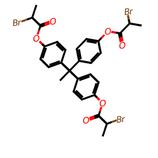 CC(Br)C(=O)Oc1ccc(C(C)(c2ccc(OC(=O)C(C)Br)cc2)c2ccc(OC(=O)C(C)Br)cc2)cc1